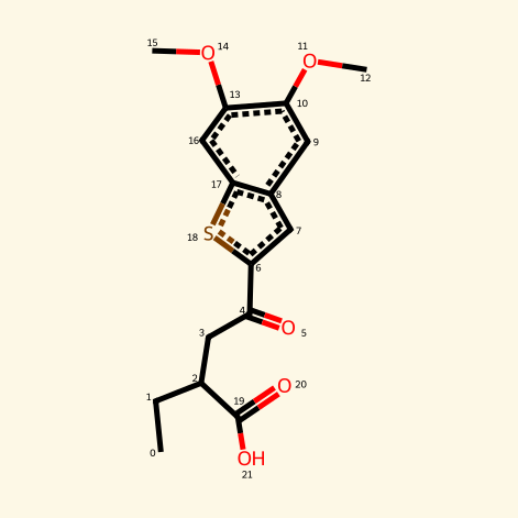 CCC(CC(=O)c1cc2cc(OC)c(OC)cc2s1)C(=O)O